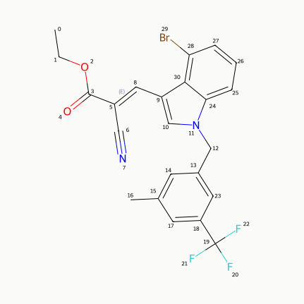 CCOC(=O)/C(C#N)=C/c1cn(Cc2cc(C)cc(C(F)(F)F)c2)c2cccc(Br)c12